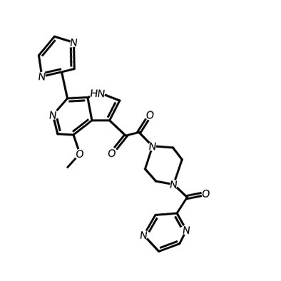 COc1cnc(-c2cnccn2)c2[nH]cc(C(=O)C(=O)N3CCN(C(=O)c4cnccn4)CC3)c12